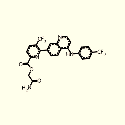 NC(=O)COC(=O)c1ccc(C(F)(F)F)c(-c2ccc3c(Nc4ccc(C(F)(F)F)cc4)ccnc3c2)n1